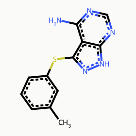 Cc1cccc(Sc2n[nH]c3ncnc(N)c23)c1